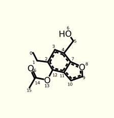 CCc1cc(CO)c2occc2c1OC(C)=O